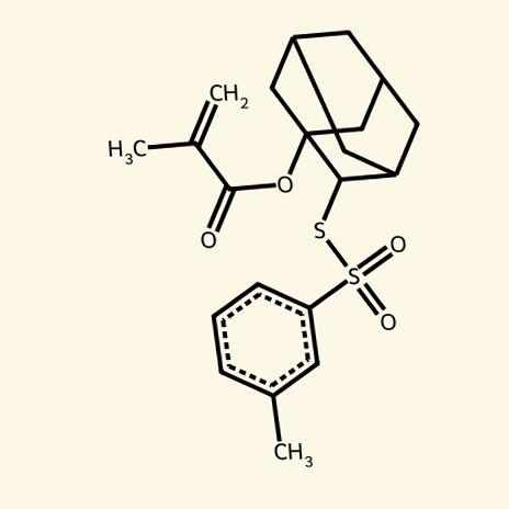 C=C(C)C(=O)OC12CC3CC(CC(C3)C1SS(=O)(=O)c1cccc(C)c1)C2